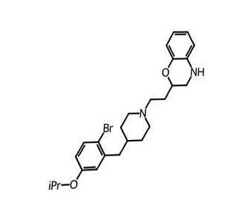 CC(C)Oc1ccc(Br)c(CC2CCN(CCC3CNc4ccccc4O3)CC2)c1